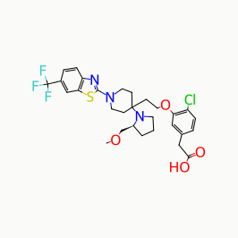 COC[C@@H]1CCCN1C1(CCOc2cc(CC(=O)O)ccc2Cl)CCN(c2nc3ccc(C(F)(F)F)cc3s2)CC1